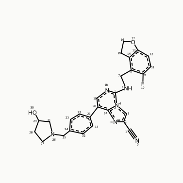 N#Cc1cn2c(NCc3c(F)ccc4c3CCO4)ncc(-c3ccc(CN4CCC(O)C4)cc3)c2n1